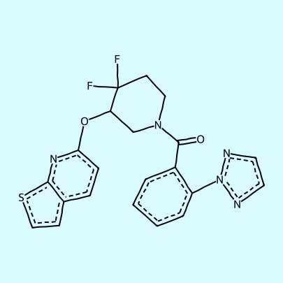 O=C(c1ccccc1-n1nccn1)N1CCC(F)(F)C(Oc2ccc3ccsc3n2)C1